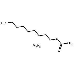 CCCCCCCCCOC(C)=O.[MgH2]